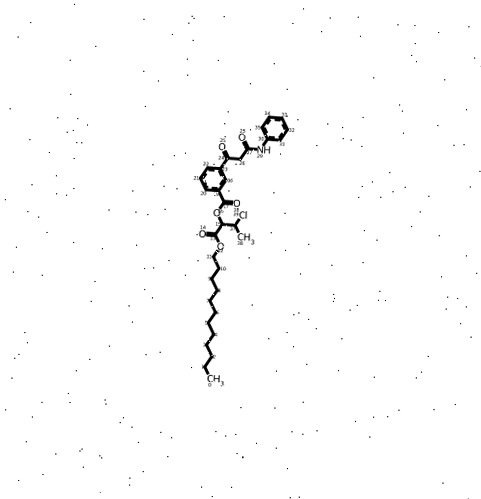 CCCCCCCCCCCCOC(=O)C(OC(=O)c1cccc(C(=O)CC(=O)Nc2ccccc2)c1)C(C)Cl